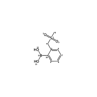 CS(=O)(=O)Cc1ccccc1B(O)O